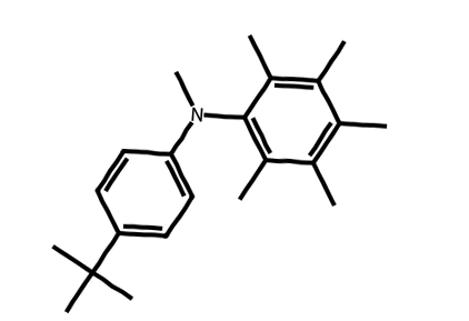 Cc1c(C)c(C)c(N(C)c2ccc(C(C)(C)C)cc2)c(C)c1C